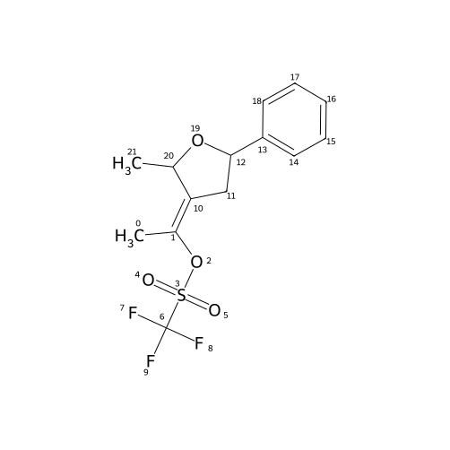 CC(OS(=O)(=O)C(F)(F)F)=C1CC(c2ccccc2)OC1C